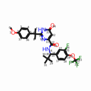 COc1ccc(C(C)(C)c2nc(C(=O)N[C@@H](c3ccc(OC(F)(F)F)c(F)c3)C(C)(C)C)cc(=O)[nH]2)cc1